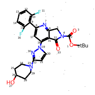 CC(C)(C)OC(=O)N1Cc2nc(-c3c(F)cccc3F)cc(-n3ccc(N4CCC(O)CC4)n3)c2C1=O